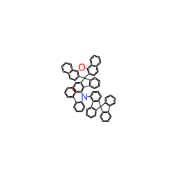 c1ccc(-c2ccccc2N(c2cccc3c2-c2ccccc2C32c3ccccc3-c3ccccc32)c2cccc3c2-c2ccccc2C32c3ccc4ccccc4c3Oc3c2ccc2ccccc32)cc1